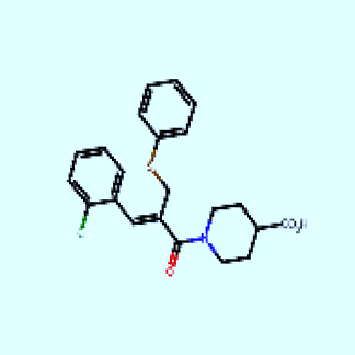 O=C(O)C1CCN(C(=O)C(=Cc2ccccc2Cl)CSc2ccccc2)CC1